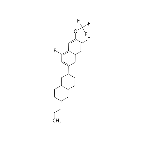 CCCC1CCC2CC(c3cc(F)c4cc(OC(F)(F)F)c(F)cc4c3)CCC2C1